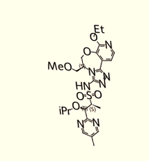 CCOc1nccc2c1OC[C@H](COC)n1c(NS(=O)(=O)[C@@H](C)[C@H](OC(C)C)c3ncc(C)cn3)nnc1-2